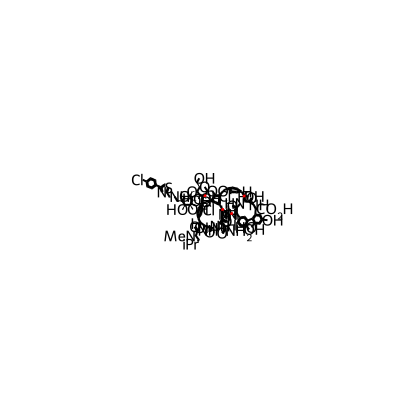 CN[C@H](CC(C)C)C(=O)NC1C(=O)N[C@@H](CC(N)=O)C(=O)N[C@H]2C(=O)N[C@H]3C(=O)N[C@H](C(=O)N[C@@H](C(=O)O)c4cc(O)cc(O)c4-c4cc3ccc4O)[C@H](O)c3ccc(c(Cl)c3)Oc3cc2cc(c3O[C@@H]2O[C@H](CO)[C@@H](O[C@@H]3O[C@H](CNCc4nc(-c5ccc(Cl)cc5)cs4)[C@H](O)[C@H](O)[C@H]3O)[C@H](O)[C@H]2O)Oc2ccc(cc2Cl)[C@H]1O